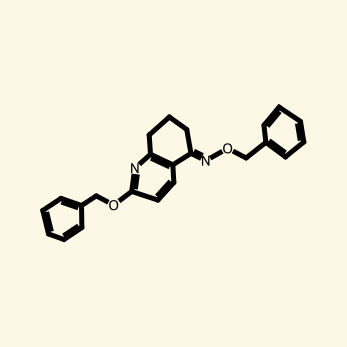 c1ccc(CON=C2CCCc3nc(OCc4ccccc4)ccc32)cc1